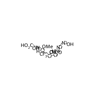 COc1cc(/C=C/c2cccc(-c3cccc(NC(=O)c4ccc(CN5CC[C@@H](O)C5)cn4)c3Cl)c2C)c(C(F)(F)F)cc1CNC[C@@H](O)CC(=O)O